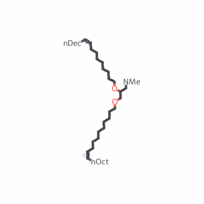 CCCCCCCC/C=C\CCCCCCCCCOCC(CNC)OCCCCCCCC/C=C\CCCCCCCCCC